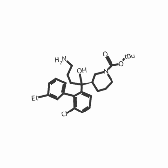 CCc1cccc(-c2c(Cl)cccc2C(O)(CCCN)[C@@H]2CCCN(C(=O)OC(C)(C)C)C2)c1